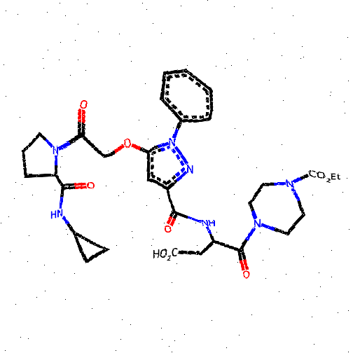 CCOC(=O)N1CCN(C(=O)C(CC(=O)O)NC(=O)c2cc(OCC(=O)N3CCCC3C(=O)NC3CC3)n(-c3ccccc3)n2)CC1